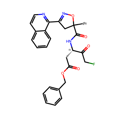 CC(C)C1(C(=O)N[C@@H](CC(=O)OCc2ccccc2)C(=O)CF)CC(c2nccc3ccccc23)=NO1